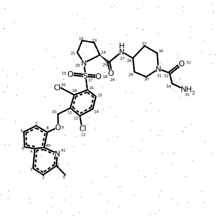 Cc1ccc2cccc(OCc3c(Cl)ccc(S(=O)(=O)N4CCC[C@H]4C(=O)NC4CCN(C(=O)CN)CC4)c3Cl)c2n1